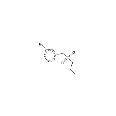 CCCS(=O)(=O)Cc1cccc(Br)c1